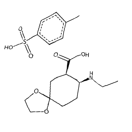 CCN[C@H]1CCC2(C[C@H]1C(=O)O)OCCO2.Cc1ccc(S(=O)(=O)O)cc1